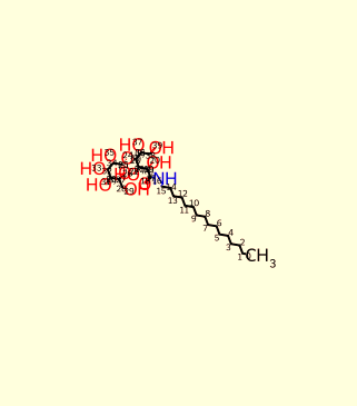 CCCCCCCCCCCCCCCCNC(=O)[C@H](O)[C@@H](O)[C@H](O[C@@H]1OC(CO)[C@@H](O)C(O)C1O)[C@H](O)CO